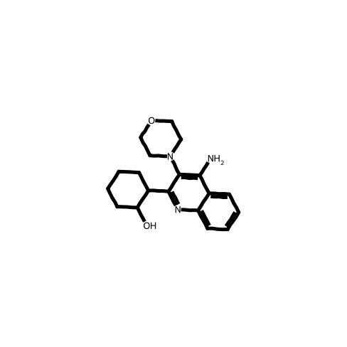 Nc1c(N2CCOCC2)c(C2CCCCC2O)nc2ccccc12